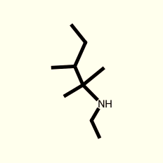 CCNC(C)(C)C(C)CC